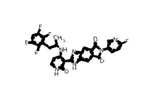 CC(Cc1c(F)c(F)cc(F)c1F)Nc1cc[nH]c(=O)c1-c1nc2cc3c(cc2[nH]1)C(=O)N(c1ccc(F)nc1)C3=O